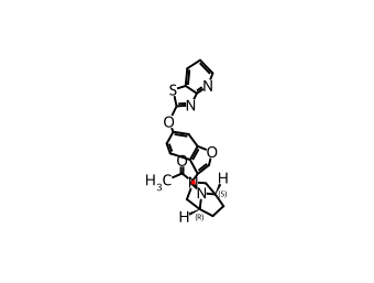 CC(=O)N1C[C@H]2CC[C@@H](C1)N2Cc1coc2cc(Oc3nc4ncccc4s3)ccc12